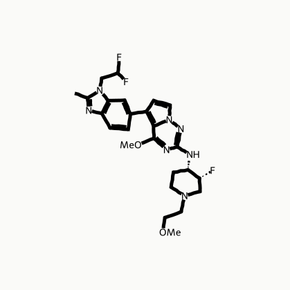 COCCN1CC[C@H](Nc2nc(OC)c3c(-c4ccc5nc(C)n(CC(F)F)c5c4)ccn3n2)[C@H](F)C1